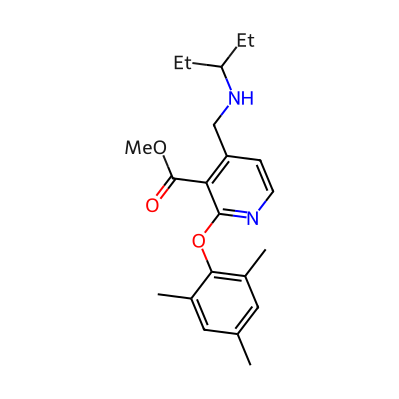 CCC(CC)NCc1ccnc(Oc2c(C)cc(C)cc2C)c1C(=O)OC